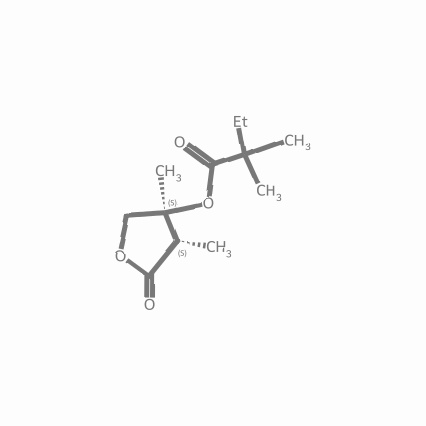 CCC(C)(C)C(=O)O[C@]1(C)COC(=O)[C@H]1C